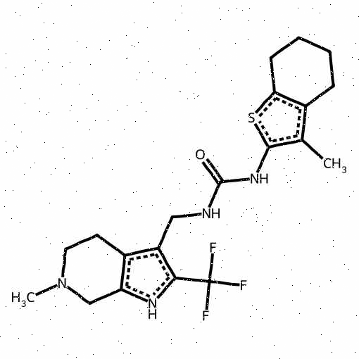 Cc1c(NC(=O)NCc2c(C(F)(F)F)[nH]c3c2CCN(C)C3)sc2c1CCCC2